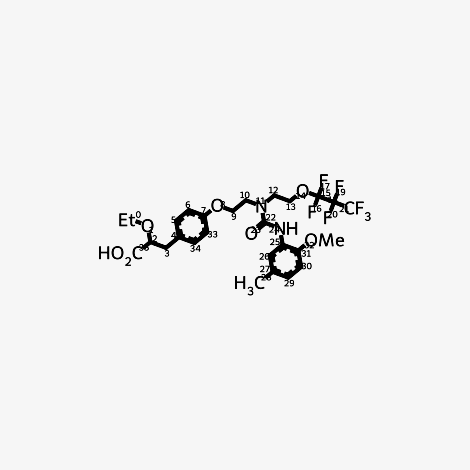 CCOC(Cc1ccc(OCCN(CCOC(F)(F)C(F)(F)C(F)(F)F)C(=O)Nc2cc(C)ccc2OC)cc1)C(=O)O